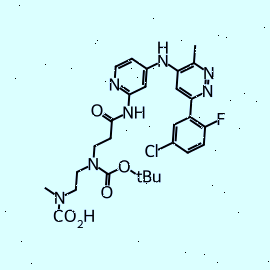 Cc1nnc(-c2cc(Cl)ccc2F)cc1Nc1ccnc(NC(=O)CCN(CCN(C)C(=O)O)C(=O)OC(C)(C)C)c1